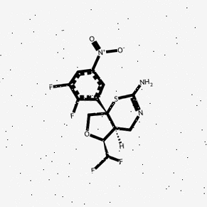 NC1=NC[C@H]2[C@@H](C(F)F)OC[C@]2(c2cc([N+](=O)[O-])cc(F)c2F)S1